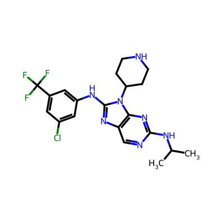 CC(C)Nc1ncc2nc(Nc3cc(Cl)cc(C(F)(F)F)c3)n(C3CCNCC3)c2n1